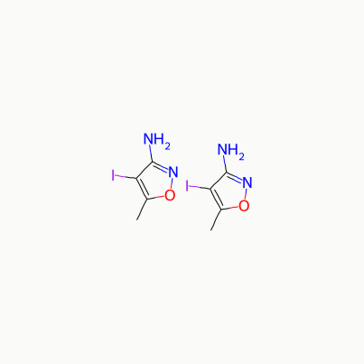 Cc1onc(N)c1I.Cc1onc(N)c1I